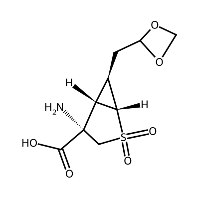 N[C@@]1(C(=O)O)CS(=O)(=O)[C@H]2[C@H](CC3OCO3)[C@H]21